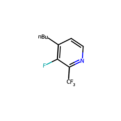 CCCCc1ccnc(C(F)(F)F)c1F